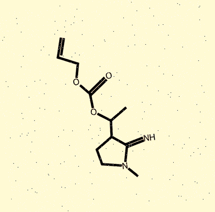 C=CCOC(=O)OC(C)C1CCN(C)C1=N